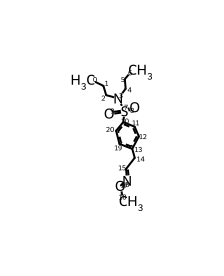 CCCN(CCC)S(=O)(=O)c1ccc(CC=NOC)cc1